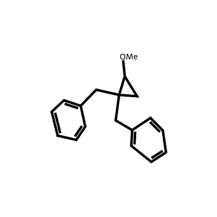 COC1CC1(Cc1ccccc1)Cc1ccccc1